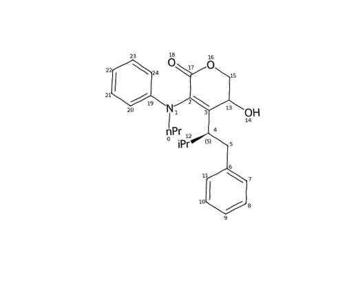 CCCN(C1=C([C@@H](Cc2ccccc2)C(C)C)C(O)COC1=O)c1ccccc1